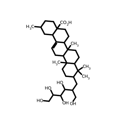 CC1CCC2(C(=O)O)CCC3C(=CCC4C3(C)CCC3C(C)(C)C(CC(CO)C(O)C(O)C(O)CO)CCC34C)C2C1